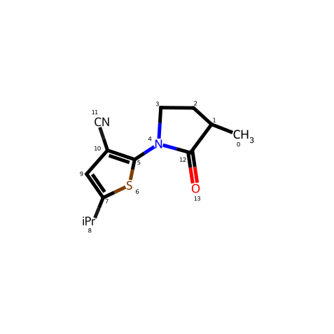 CC1CCN(c2sc(C(C)C)cc2C#N)C1=O